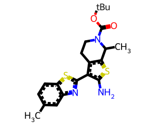 Cc1ccc2sc(-c3c(N)sc4c3CCN(C(=O)OC(C)(C)C)C4C)nc2c1